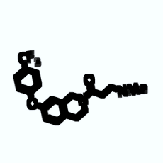 CNCCC(=O)N1CCc2ccc(Oc3ccc(C(F)(F)F)cc3)cc2C1